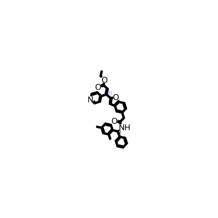 CCOC(=O)/C=C(\c1ccncc1)c1cc2cc(CC(=O)N[C@@H](c3ccccc3)c3ccc(C)cc3C)ccc2o1